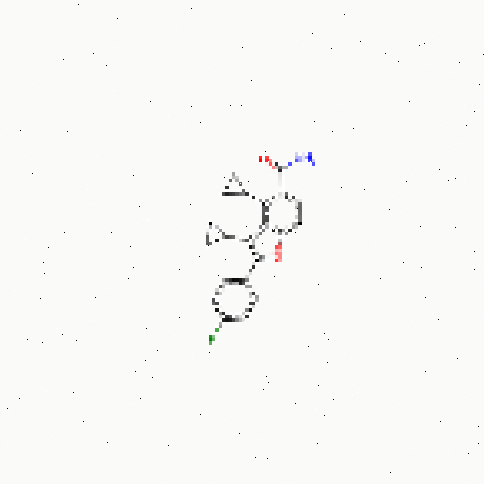 NC(=O)c1ccc2oc(-c3ccc(F)cc3)c(C3CC3)c2c1C1CC1